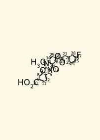 Cn1c(=O)n(Cc2ccc(C(=O)O)cc2)c(=O)c2cc(OC(=O)Cc3cccc(F)c3)ccc21